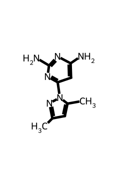 Cc1cc(C)n(-c2cc(N)nc(N)n2)n1